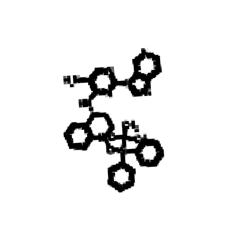 CC(C)(C)[Si](O[C@@H]1CC[C@@H](Nc2nc(-n3cnc4ccncc43)ncc2N)c2ccccc21)(c1ccccc1)c1ccccc1